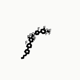 C=CCCc1ccc(-c2ccc(-c3cc(F)c(C(F)(F)Oc4ccc(-c5ccc(OC(F)(F)F)c(F)c5)c(F)c4)c(F)c3)c(F)c2)cc1